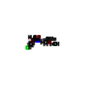 C#CCOc1ccc(CCNC(=O)C(C)COc2ccc(Cl)cc2)cc1OC